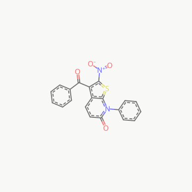 O=C(c1ccccc1)c1c([N+](=O)[O-])sc2c1ccc(=O)n2-c1ccccc1